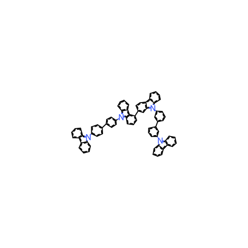 c1cc(-c2cccc(-n3c4ccccc4c4ccc(-c5cccc6c5c5ccccc5n6-c5ccc(-c6ccc(-n7c8ccccc8c8ccccc87)cc6)cc5)cc43)c2)cc(-n2c3ccccc3c3ccccc32)c1